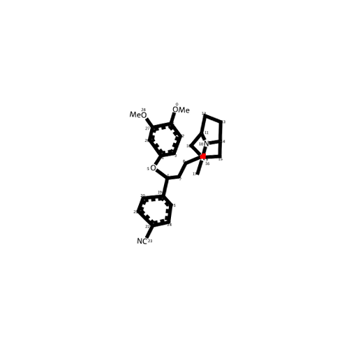 COc1ccc(OC(CCCN2C3CCC2CN(C)C3)c2ccc(C#N)cc2)cc1OC